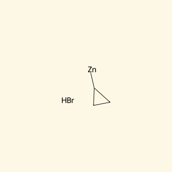 Br.[Zn][CH]1CC1